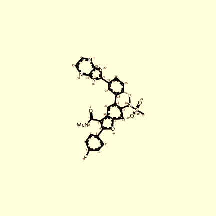 CNC(=O)c1c(-c2ccc(F)cc2)oc2cc(N(C)S(C)(=O)=O)c(-c3cccc(-c4nc5nccnc5s4)c3)cc12